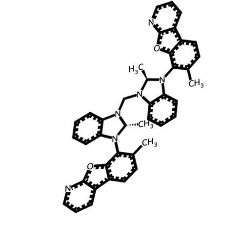 Cc1ccc2c(oc3ncccc32)c1N1c2ccccc2N(CN2c3ccccc3N(c3c(C)ccc4c3oc3ncccc34)[C@H]2C)[C@H]1C